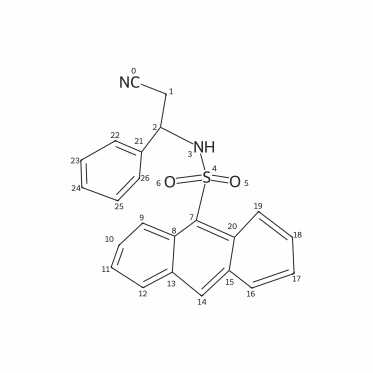 N#CCC(NS(=O)(=O)c1c2ccccc2cc2ccccc12)c1ccccc1